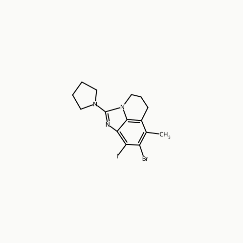 Cc1c(Br)c(I)c2nc(N3CCCC3)n3c2c1CCC3